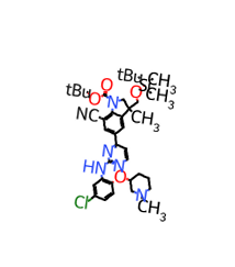 CN1CCCC(Oc2ccc(Cl)cc2Nc2nccc(-c3cc(C#N)c4c(c3)C(C)(CO[Si](C)(C)C(C)(C)C)CN4C(=O)OC(C)(C)C)n2)C1